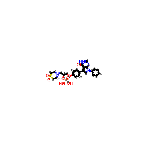 O=c1[nH]cnc2c1c(-c1ccc(OCC(CN3CCS(=O)(=O)CC3)OP(=O)(O)O)cc1)cn2-c1ccccc1